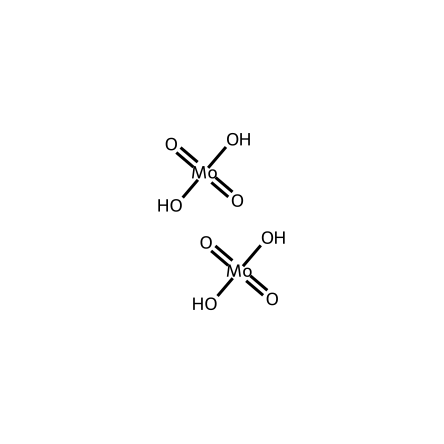 [O]=[Mo](=[O])([OH])[OH].[O]=[Mo](=[O])([OH])[OH]